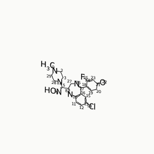 CN1CCN(C(=NO)C2=Nc3ccc(Cl)cc3C(C3=CCC(=O)C=C3F)=NC2)CC1